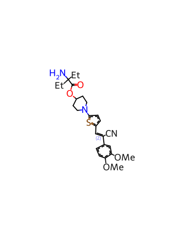 CCC(N)(CC)C(=O)OC1CCN(c2ccc(/C=C(\C#N)c3ccc(OC)c(OC)c3)s2)CC1